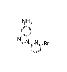 Nc1ccc2c(c1)ncn2-c1cccc(Br)n1